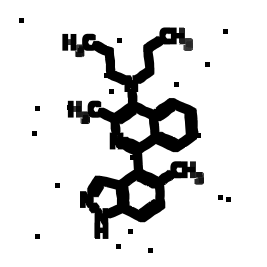 CCCN(CCC)c1c(C)nc(-c2c(C)ccc3[nH]ncc23)c2ccccc12